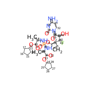 C=C[C@]1(COP(=O)(N[C@@H](C)C(=O)OC2CCCC2)N[C@@H](C)C(=O)OC2CCCC2)O[C@@H](n2ccc(N)nc2=O)[C@H](O)[C@@H]1F